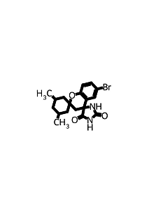 CC1CC(C)CC2(C1)CC1(NC(=O)NC1=O)c1cc(Br)ccc1O2